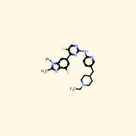 Cc1nc2c(F)cc(-c3nc(Nc4ccc(CC5CCN(CC(F)(F)F)CC5)cn4)ncc3F)cc2n1C(C)C